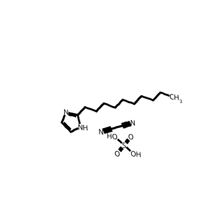 CCCCCCCCCCc1ncc[nH]1.N#CC#N.O=S(=O)(O)O